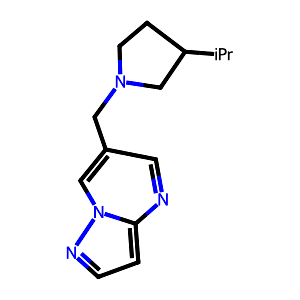 CC(C)C1CCN(Cc2cnc3ccnn3c2)C1